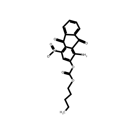 CCCCCOC(=O)Oc1cc([N+](=O)[O-])c2c(c1N)C(=O)c1ccccc1C2=O